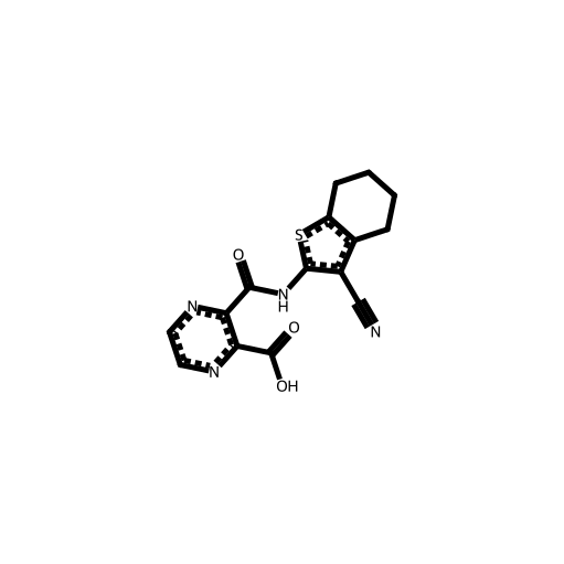 N#Cc1c(NC(=O)c2nccnc2C(=O)O)sc2c1CCCC2